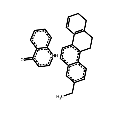 CCc1ccc2c3c(ccc2c1)C1=C(CCC=C1)CC3.O=c1cc[nH]c2ccccc12